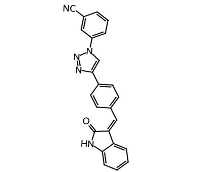 N#Cc1cccc(-n2cc(-c3ccc(/C=C4\C(=O)Nc5ccccc54)cc3)nn2)c1